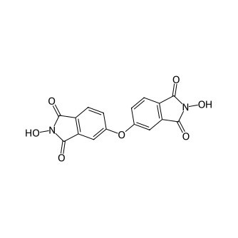 O=C1c2ccc(Oc3ccc4c(c3)C(=O)N(O)C4=O)cc2C(=O)N1O